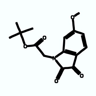 COc1ccc2c(c1)N(CC(=O)OC(C)(C)C)C(=O)C2=O